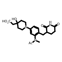 CC(=O)N(C)c1cc(N2CCC(O)(CC(=O)O)CC2)ccc1CC1CCC(=O)NC1=O